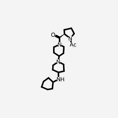 CC(=O)N1CCC[C@@H]1C(=O)N1CCC(N2CCC(NC3CCCCC3)CC2)CC1